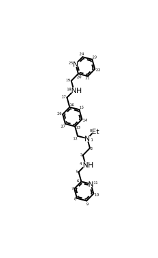 CCN(CCNCc1ccccn1)Cc1ccc(CNCc2ccccn2)cc1